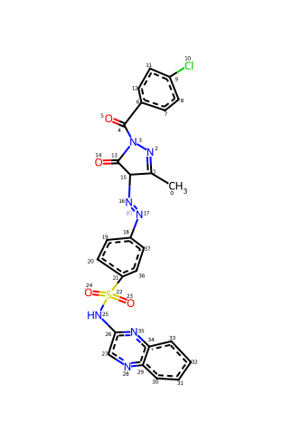 CC1=NN(C(=O)c2ccc(Cl)cc2)C(=O)C1/N=N/c1ccc(S(=O)(=O)Nc2cnc3ccccc3n2)cc1